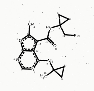 Cc1oc2ncnc(NC3(C)CC3)c2c1C(=O)NC1(CF)CC1